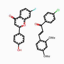 COc1ccc(C=CC(=O)c2ccc(Cl)cc2)c(OC)c1.O=c1cc(-c2ccc(O)cc2)oc2cc(F)ccc12